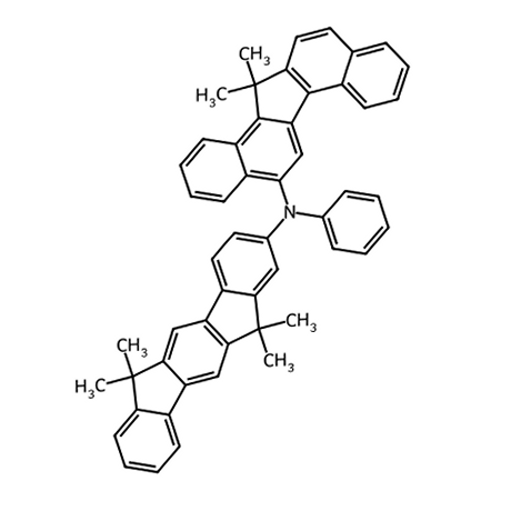 CC1(C)c2ccccc2-c2cc3c(cc21)-c1ccc(N(c2ccccc2)c2cc4c(c5ccccc25)C(C)(C)c2ccc5ccccc5c2-4)cc1C3(C)C